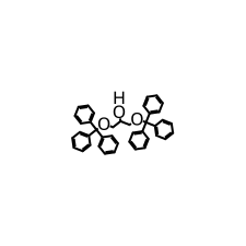 OC(COC(c1ccccc1)(c1ccccc1)c1ccccc1)COC(c1ccccc1)(c1ccccc1)c1ccccc1